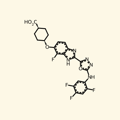 O=C(O)[C@H]1CC[C@@H](Oc2ccc3nc(-c4nnc(Nc5cc(F)c(F)cc5F)o4)[nH]c3c2F)CC1